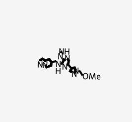 COCCn1cc(-c2cnc(N=N)c(NCc3ccn4nccc4c3)n2)cn1